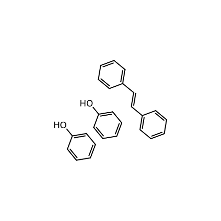 C(=Cc1ccccc1)c1ccccc1.Oc1ccccc1.Oc1ccccc1